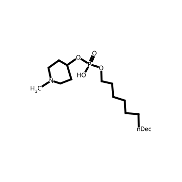 CCCCCCCCCCCCCCCCOP(=O)(O)OC1CCN(C)CC1